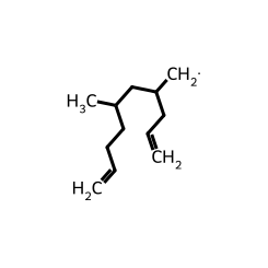 [CH2]C(CC=C)CC(C)CCC=C